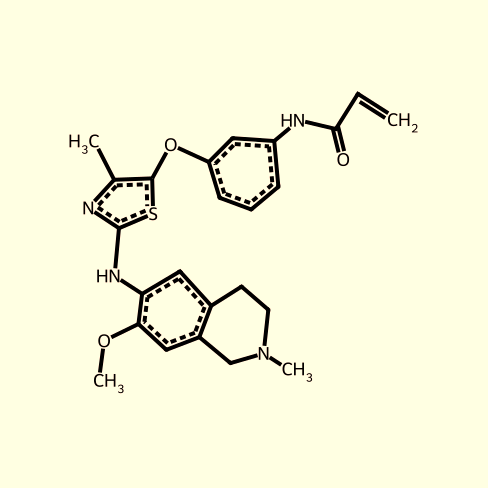 C=CC(=O)Nc1cccc(Oc2sc(Nc3cc4c(cc3OC)CN(C)CC4)nc2C)c1